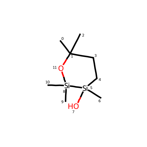 CC1(C)CC[Si](C)(O)[Si](C)(C)O1